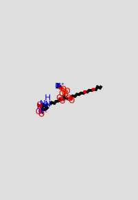 CCCCCCCCCCCCCCCC(=O)OC[C@H](COP(=O)([O-])OCC[N+](C)(C)C)OC(=O)CCCCCNc1ccc([N+](=O)[O-])c2nonc12